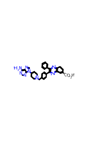 Nc1ncnc2c1ncn2C1CCN(Cc2ccc(-c3nc4cc(C(=O)O)ccc4nc3-c3ccccc3)cc2)CC1